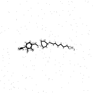 CCCCCCCC[C@H]1CC[C@H](CCc2ccc(C#N)c(F)c2F)CC1